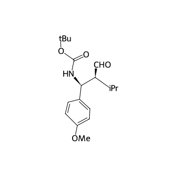 COc1ccc([C@@H](NC(=O)OC(C)(C)C)[C@@H](C=O)C(C)C)cc1